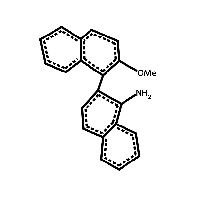 COc1ccc2ccccc2c1-c1ccc2ccccc2c1N